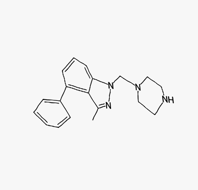 Cc1nn(CN2CCNCC2)c2cccc(-c3ccccc3)c12